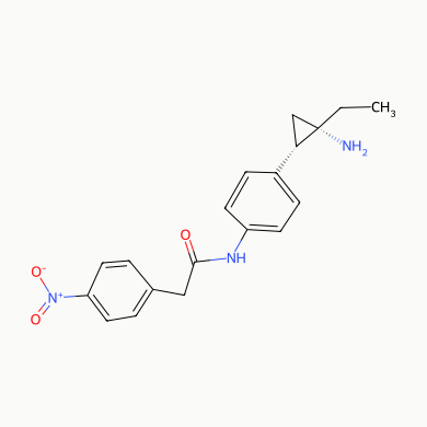 CC[C@]1(N)C[C@H]1c1ccc(NC(=O)Cc2ccc([N+](=O)[O-])cc2)cc1